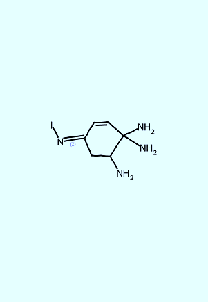 NC1C/C(=N/I)C=CC1(N)N